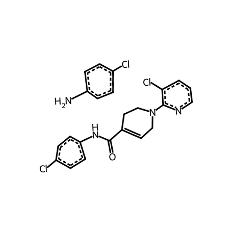 Nc1ccc(Cl)cc1.O=C(Nc1ccc(Cl)cc1)C1=CCN(c2ncccc2Cl)CC1